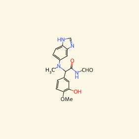 COc1ccc(C(C(=O)NC=O)N(C)c2ccc3[nH]cnc3c2)cc1O